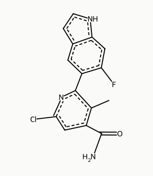 Cc1c(C(N)=O)cc(Cl)nc1-c1cc2cc[nH]c2cc1F